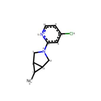 N#CC1C2CN(c3cc(Cl)ccn3)CC12